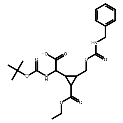 CCOC(=O)C1C(COC(=O)NCc2ccccc2)C1C(NC(=O)OC(C)(C)C)C(=O)O